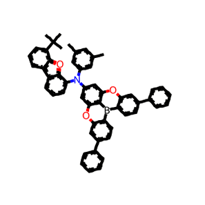 Cc1cc(C)cc(N(c2cc3c4c(c2)Oc2cc(-c5ccccc5)ccc2B4c2ccc(-c4ccccc4)cc2O3)c2cccc3c2oc2c(C(C)(C)C)cccc23)c1